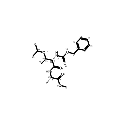 COC(=O)[C@H](C)NC(=O)[C@@H](NC(=O)OCc1ccccc1)[C@@H](C)OC(C)C